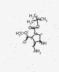 COC(=O)C1/C(=C/N)C(=N)CN1C(=O)OC(C)(C)C